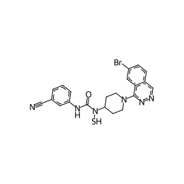 N#Cc1cccc(NC(=O)N(S)C2CCN(c3nncc4ccc(Br)cc34)CC2)c1